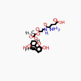 C[C@H](OC(=O)CCNC(=O)[C@@H](N)CCC(=O)O)C(=O)OC1=CC[C@@]2(O)[C@@H]3CCC[C@@]24c2c(ccc(O)c2O[C@@H]14)C3